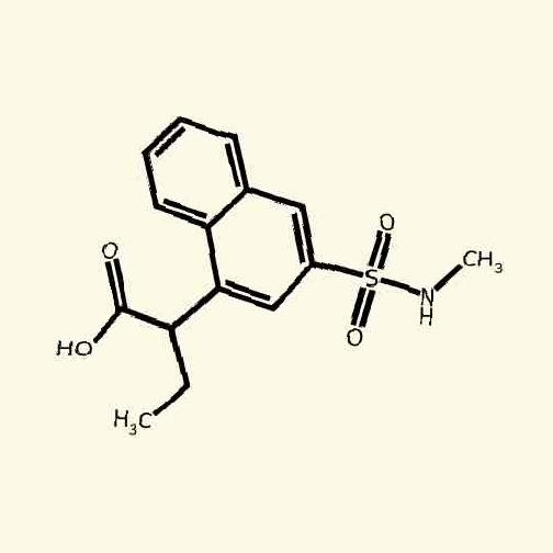 CCC(C(=O)O)c1cc(S(=O)(=O)NC)cc2ccccc12